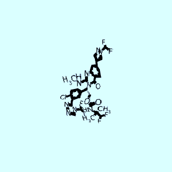 CNC(=N)N(C(=O)c1ccc(-c2cnn(C(F)F)c2)cc1)[C@H](COC(=O)NC(C)(C)C(F)F)c1ccc(Cl)c(-c2nncn2C(F)F)c1